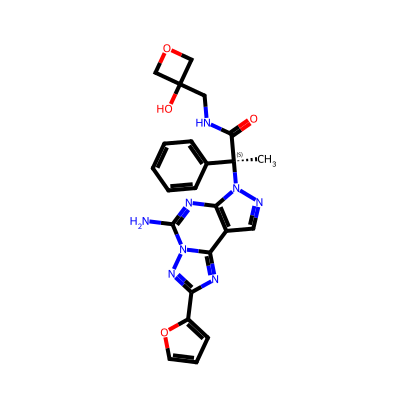 C[C@@](C(=O)NCC1(O)COC1)(c1ccccc1)n1ncc2c1nc(N)n1nc(-c3ccco3)nc21